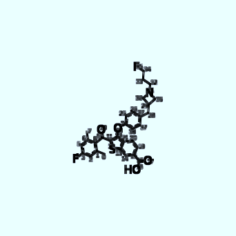 Cc1cc(F)cc(C)c1C(=O)c1sc2cc(C(=O)O)ccc2c1Oc1ccc(CC2CN(CCCF)C2)cc1